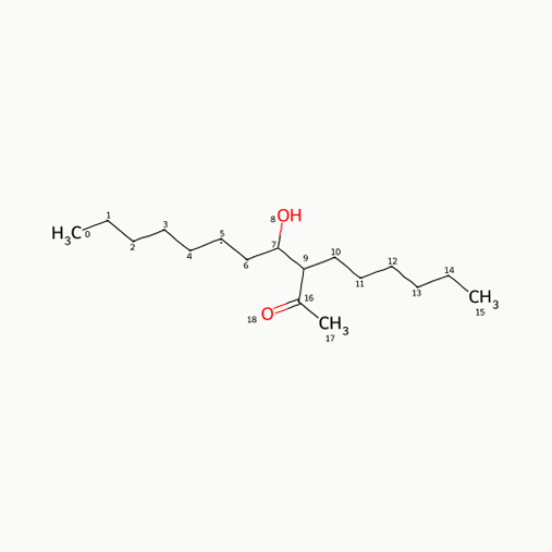 CCCCC[CH]CC(O)C(CCCCCC)C(C)=O